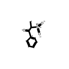 CC(C(=O)c1ccccc1)[SH](=O)=O